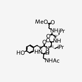 COC(=O)CNC(=O)[C@H](CC(C)C)NC(=O)[C@H](CC(C)C)NC(=O)[C@H](Cc1ccc(O)cc1)NC(=O)CNC(C)=O